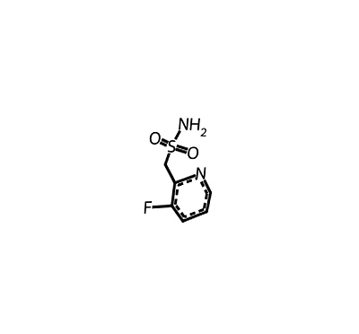 NS(=O)(=O)Cc1ncccc1F